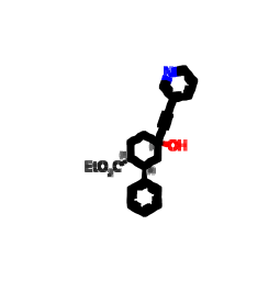 CCOC(=O)[C@@H]1CC[C@](O)(C#Cc2cccnc2)C[C@H]1c1ccccc1